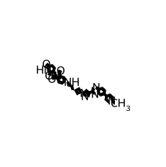 CN1CCC(c2ccc3ncc(-c4cnn([C@H]5C[C@H](CCCNc6ccc7c(c6)C(=O)N(C6CCC(=O)NC6=O)C7=O)C5)c4)nc3c2)CC1